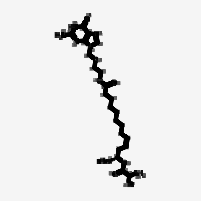 CCCCCC[C@H](C/C=C\CCCCCCCC(=O)OCCOCn1cnc2c(=O)[nH]c(N)nc21)OC(=O)C(N)C(C)C